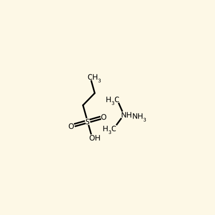 CCCS(=O)(=O)O.CNC.N